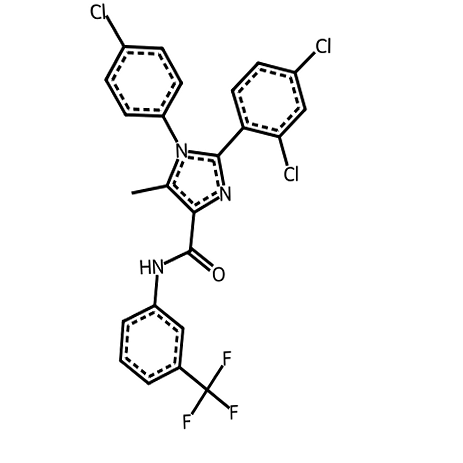 Cc1c(C(=O)Nc2cccc(C(F)(F)F)c2)nc(-c2ccc(Cl)cc2Cl)n1-c1ccc(Cl)cc1